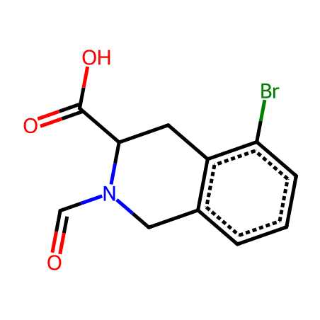 O=CN1Cc2cccc(Br)c2CC1C(=O)O